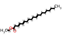 CCCCCCCCC=CCCCCC=CC=CCC(=O)OCC